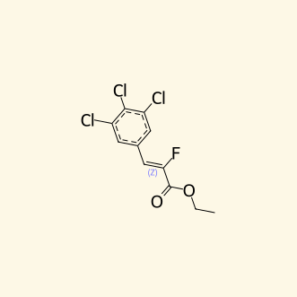 CCOC(=O)/C(F)=C/c1cc(Cl)c(Cl)c(Cl)c1